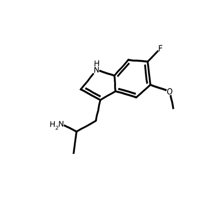 COc1cc2c(CC(C)N)c[nH]c2cc1F